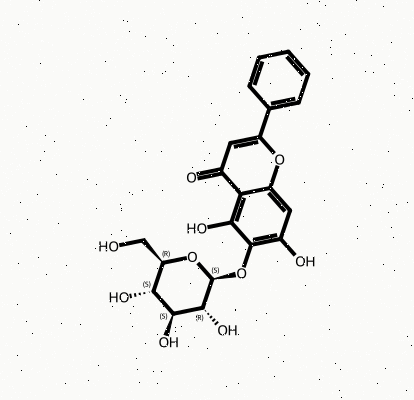 O=c1cc(-c2ccccc2)oc2cc(O)c(O[C@@H]3O[C@H](CO)[C@@H](O)[C@H](O)[C@H]3O)c(O)c12